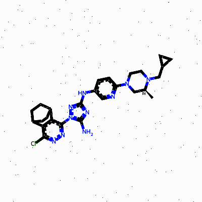 C[C@H]1CN(c2ccc(Nc3nc(N)n(-c4nnc(Cl)c5c4C4CCC5CC4)n3)cn2)CCN1CC1CC1